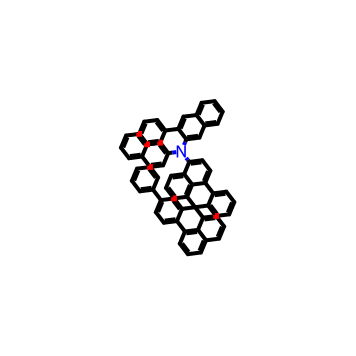 c1ccc(-c2ccc3c(c2)C2(c4ccccc4-c4ccc(N(c5ccc6ccccc6c5)c5cc6ccccc6cc5-c5ccccc5)c5cccc2c45)c2cccc4cccc-3c24)cc1